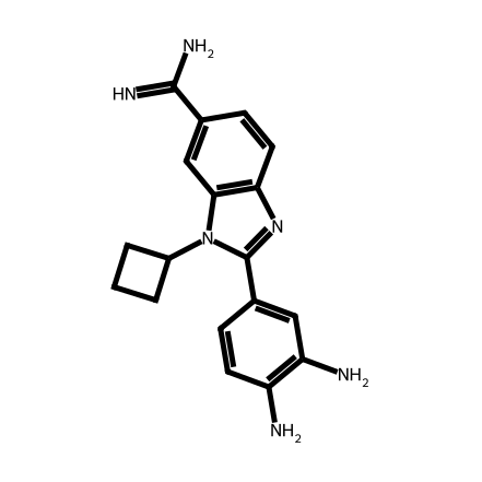 N=C(N)c1ccc2nc(-c3ccc(N)c(N)c3)n(C3CCC3)c2c1